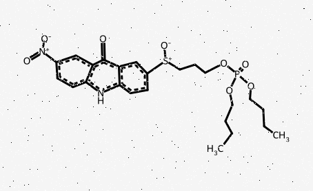 CCCCOP(=O)(OCCCC)OCCC[S+]([O-])c1ccc2[nH]c3ccc([N+](=O)[O-])cc3c(=O)c2c1